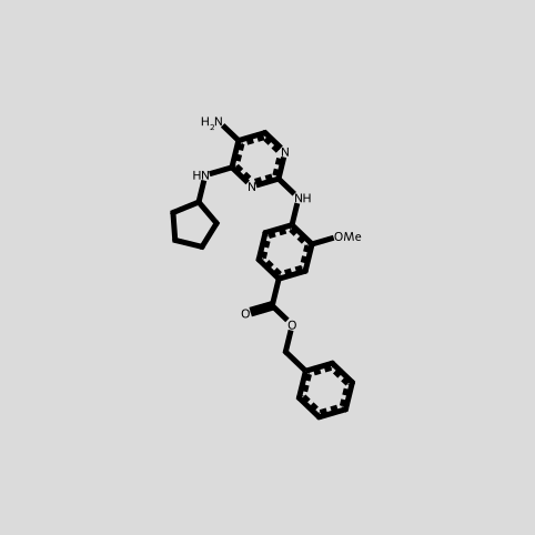 COc1cc(C(=O)OCc2ccccc2)ccc1Nc1ncc(N)c(NC2CCCC2)n1